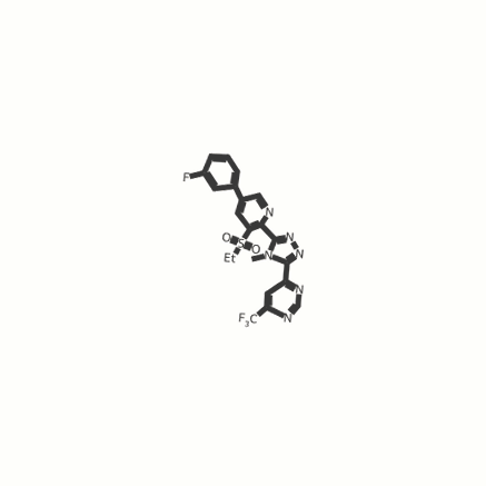 CCS(=O)(=O)c1cc(-c2cccc(F)c2)cnc1-c1nnc(-c2cc(C(F)(F)F)ncn2)n1C